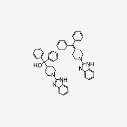 OC(c1ccccc1)(c1ccccc1)C1CCN(c2nc3ccccc3[nH]2)CC1.c1ccc(C(=C2CCN(c3nc4ccccc4[nH]3)CC2)c2ccccc2)cc1